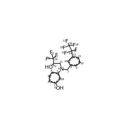 Oc1cccc(N(Cc2cccc(C(F)(F)C(F)(F)F)c2)C[C@@H](O)C(F)(F)F)c1